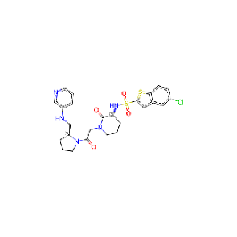 O=C1[C@@H](NS(=O)(=O)c2cc3cc(Cl)ccc3s2)CCCN1CC(=O)N1CCC[C@H]1CNc1cccnc1